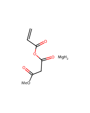 C=CC(=O)OC(=O)CC(=O)OC.[MgH2]